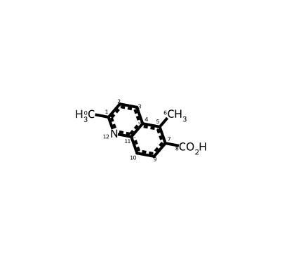 Cc1ccc2c(C)c(C(=O)O)ccc2n1